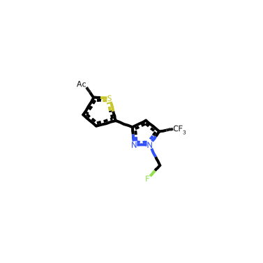 CC(=O)c1ccc(-c2cc(C(F)(F)F)n(CF)n2)s1